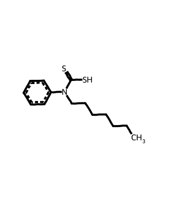 CCCCCCCN(C(=S)S)c1ccccc1